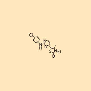 CCn1c(C)c(-c2ccnc(Nc3ccc(Cl)cc3)n2)sc1=O